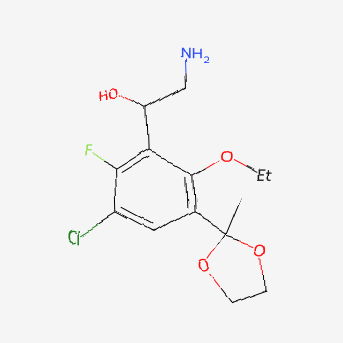 CCOc1c(C2(C)OCCO2)cc(Cl)c(F)c1C(O)CN